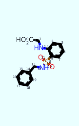 O=C(O)CNc1ccccc1S(=O)(=O)NCc1ccccc1